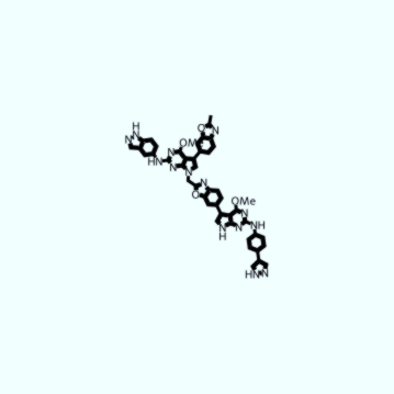 COc1nc(Nc2ccc(-c3cn[nH]c3)cc2)nc2[nH]cc(-c3ccc4nc(Cn5cc(-c6ccc7nc(C)oc7c6)c6c(OC)nc(Nc7ccc8[nH]ncc8c7)nc65)oc4c3)c12